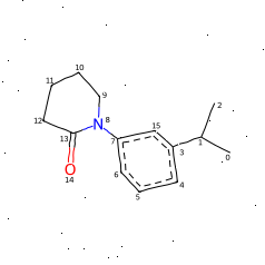 CC(C)c1cccc(N2CCCCC2=O)c1